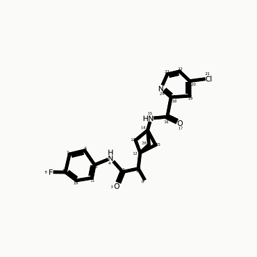 CC(C(=O)Nc1ccc(F)cc1)C12CC(NC(=O)c3cc(Cl)ccn3)(C1)C2